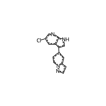 Clc1cnc2[nH]cc(-c3ccn4nccc4c3)c2c1